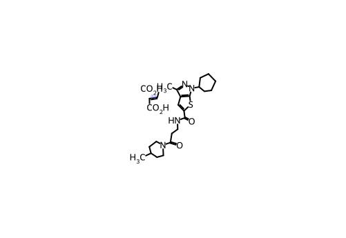 Cc1nn(C2CCCCC2)c2sc(C(=O)NCCC(=O)N3CCC(C)CC3)cc12.O=C(O)/C=C/C(=O)O